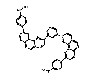 OPc1ccc(-c2ccc3ccc4ccc(-c5cccc(-c6ccc7ccc8ccc(-c9ccc(PO)cc9)nc8c7n6)c5)nc4c3n2)cc1